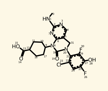 CNc1ncc2c(n1)N(C1CCC(C(=O)O)CC1)C(=O)N(c1c(Cl)cc(F)c(O)c1F)C2